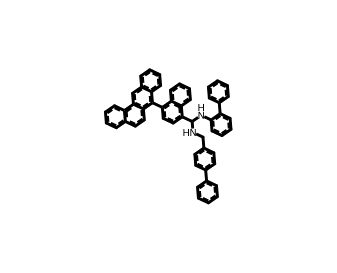 c1ccc(-c2ccc(CNC(Nc3ccccc3-c3ccccc3)c3ccc(-c4c5ccccc5cc5c4ccc4ccccc45)c4ccccc34)cc2)cc1